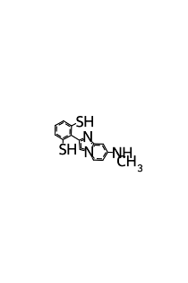 CNc1ccn2cc(-c3c(S)cccc3S)nc2c1